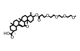 COCCOCCOCCOCCC(=O)OC1CCC2(C)C(CCC3(C)C4CCC5(C)CC[C@](C)(C(=O)O)CC5C4=CC(=O)C32)C1C